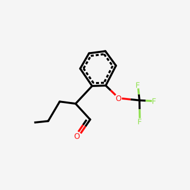 CCCC(C=O)c1ccccc1OC(F)(F)F